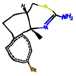 C[C@]12N=C(N)SC[C@H]1CCc1ccc(Br)cc12